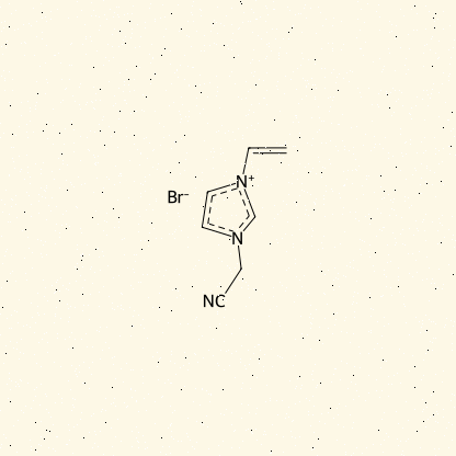 C=C[n+]1ccn(CC#N)c1.[Br-]